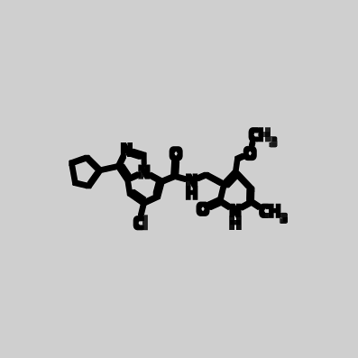 COCc1cc(C)[nH]c(=O)c1CNC(=O)c1cc(Cl)cc2c(C3CCCC3)ncn12